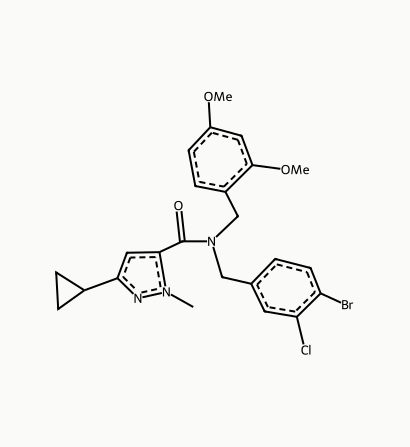 COc1ccc(CN(Cc2ccc(Br)c(Cl)c2)C(=O)c2cc(C3CC3)nn2C)c(OC)c1